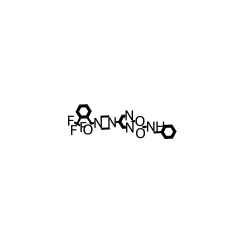 O=C(NCc1ccccc1)Oc1ncc(N2CCN(C(=O)c3ccccc3C(F)(F)F)CC2)cn1